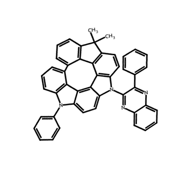 CC1(C)c2cccc3c4cccc5c4c4c6c7c(c1ccc7n(-c1nc7ccccc7nc1-c1ccccc1)c6ccc4n5-c1ccccc1)c23